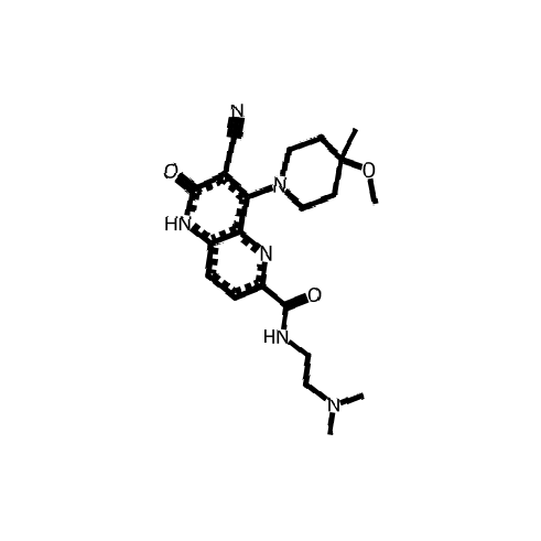 COC1(C)CCN(c2c(C#N)c(=O)[nH]c3ccc(C(=O)NCCN(C)C)nc23)CC1